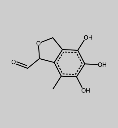 Cc1c(O)c(O)c(O)c2c1C(C=O)OC2